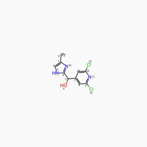 CC(C)c1c[nH]c(C(O)c2cc(Cl)nc(Cl)c2)n1